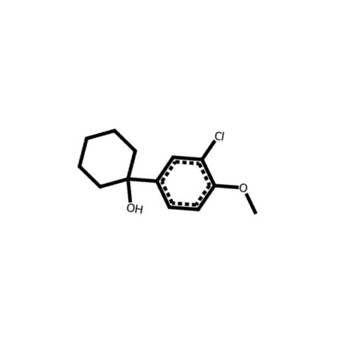 COc1ccc(C2(O)CCCCC2)cc1Cl